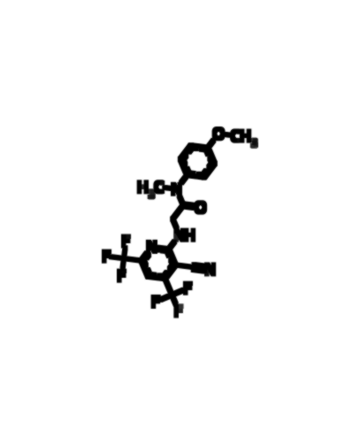 COc1ccc(N(C)C(=O)CNc2nc(C(F)(F)F)cc(C(F)(F)F)c2C#N)cc1